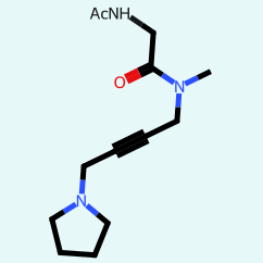 CC(=O)NCC(=O)N(C)CC#CCN1CCCC1